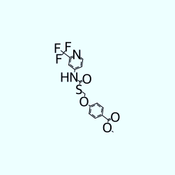 COC(=O)c1ccc(OCSC(=O)Nc2ccnc(C(F)(F)F)c2)cc1